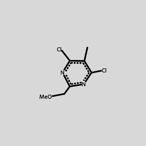 COCc1nc(Cl)c(C)c(Cl)n1